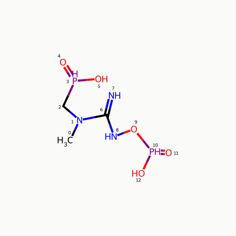 CN(C[PH](=O)O)C(=N)NO[PH](=O)O